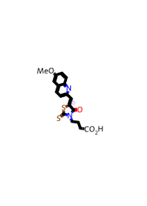 COc1ccc2nc(/C=C3\SC(=S)N(CCCC(=O)O)C3=O)ccc2c1